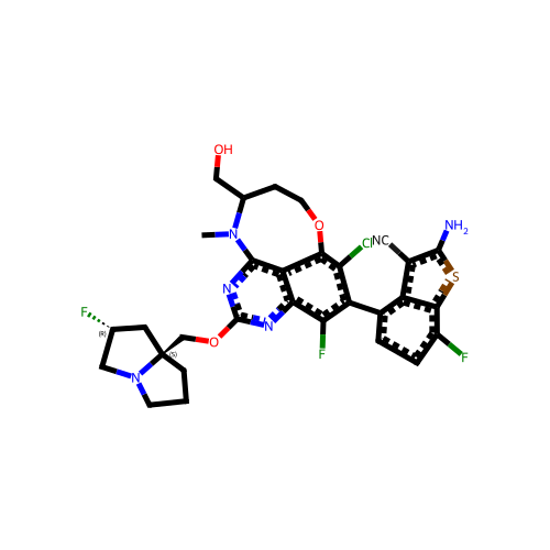 CN1c2nc(OC[C@@]34CCCN3C[C@H](F)C4)nc3c(F)c(-c4ccc(F)c5sc(N)c(C#N)c45)c(Cl)c(c23)OCCC1CO